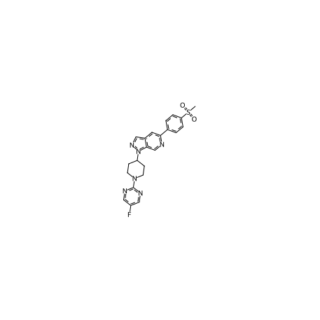 CS(=O)(=O)c1ccc(-c2cc3cnn(C4CCN(c5ncc(F)cn5)CC4)c3cn2)cc1